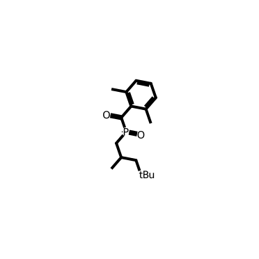 Cc1cccc(C)c1C(=O)[P](=O)CC(C)CC(C)(C)C